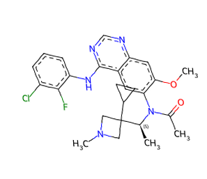 COc1cc2ncnc(Nc3cccc(Cl)c3F)c2cc1N(C(C)=O)[C@@H](C)C1(C2CC2)CN(C)C1